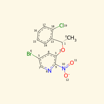 C[C@H](Oc1cc(Br)cnc1[N+](=O)[O-])c1ccccc1Cl